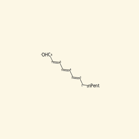 CCCCCCC=CC=CC=C[C]=O